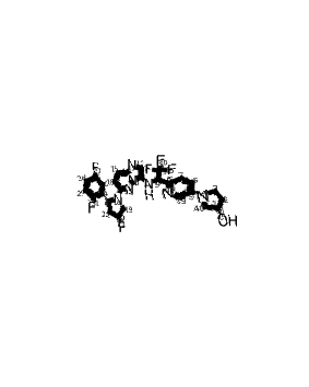 O[C@H]1CCN(c2ccc(C(Nc3cnc4ccc(N5C[C@@H](F)C[C@@H]5c5cc(F)ccc5F)nn34)C(F)(F)F)nc2)C1